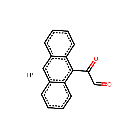 O=CC(=O)c1c2ccccc2cc2ccccc12.[H+]